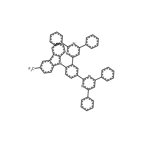 FC(F)(F)c1ccc2c(c1)c1ccccc1n2-c1ccc(-c2nc(-c3ccccc3)cc(-c3ccccc3)n2)cc1-c1cc(-c2ccccc2)nc(-c2ccccc2)n1